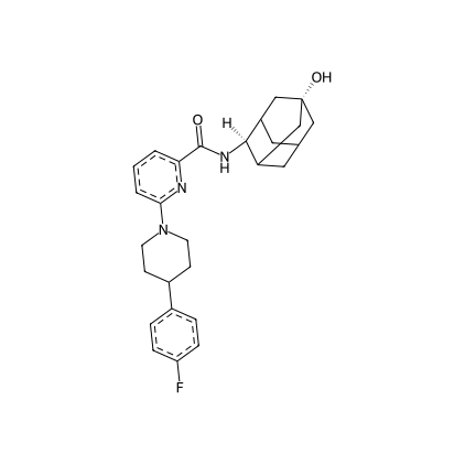 O=C(N[C@H]1C2CC3CC1C[C@](O)(C3)C2)c1cccc(N2CCC(c3ccc(F)cc3)CC2)n1